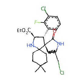 CCOC(=O)[C@@H]1NC2(CCC(C)(C)CC2)[C@@]2(C(=O)Nc3cc(Cl)ccc32)[C@H]1c1cccc(Cl)c1F